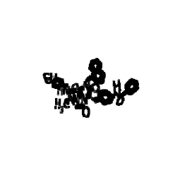 COc1ccc(CNC(=O)N(C)N2CC(=O)N3[C@@H](Cc4ccc(NC(=O)c5ccccc5)cc4)C(=O)N(Cc4cccc5ccccc45)C[C@@H]32)cc1